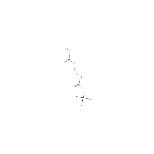 COC(=O)CONC(=O)OC(C)(C)C